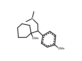 COc1ccc(C(CN(C)C)C2(OC)CCCCC2)cc1